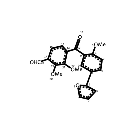 COc1ccc(-c2ccco2)cc1C(=O)c1ccc(C=O)c(OC)c1OC